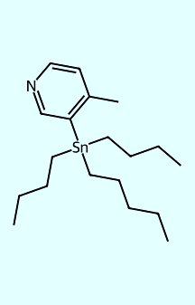 CCCC[CH2][Sn]([CH2]CCC)([CH2]CCC)[c]1cnccc1C